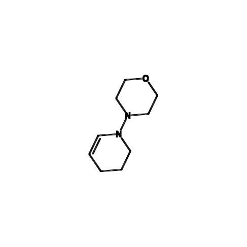 C1=CN(N2CCOCC2)CCC1